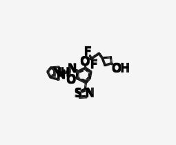 OC1CC(CC(F)(F)Oc2ccc(-c3nccs3)c3oc(N4CC5CC(C4)N5)nc23)C1